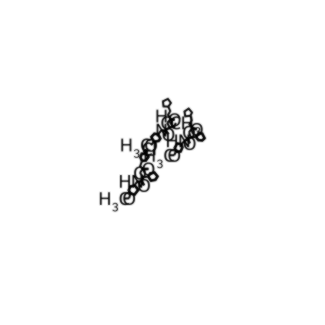 CCC(OC(=O)CCC1CCCC1)C(=O)Nc1ccc(OC)cc1.COc1ccc(NC(=O)C(OC(=O)CCC2CCCC2)c2ccccc2)cc1.COc1ccc(NC(=O)C(OC(=O)Cc2ccc(Cl)cc2)c2ccccc2)cc1